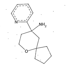 NC1(c2ccccn2)CCOC2(CCCC2)C1